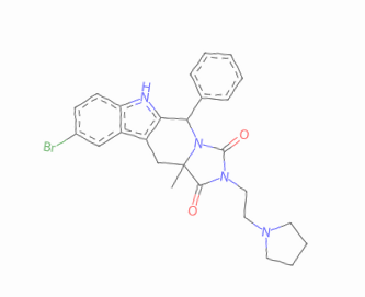 CC12Cc3c([nH]c4ccc(Br)cc34)C(c3ccccc3)N1C(=O)N(CCN1CCCC1)C2=O